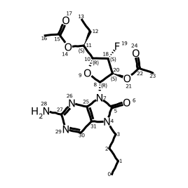 CCCCn1c(=O)n([C@@H]2O[C@H]([C@H](CC)OC(C)=O)[C@H](F)[C@H]2OC(C)=O)c2nc(N)ncc21